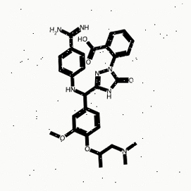 COc1cc(C(Nc2ccc(C(=N)N)cc2)c2nn(-c3ccccc3C(=O)O)c(=O)[nH]2)ccc1OC(C)CN(C)C